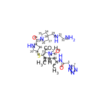 C[C@@H](NC(=O)Cn1cnnn1)[C@H]1C(=O)N2C(C(=O)O)=C(SC3CNC(C(=O)N4CCC(CNCCN)CC4)C3)[C@H](C)[C@H]12